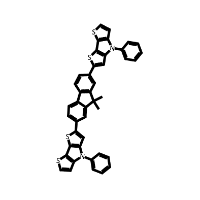 CC1(C)c2cc(-c3cc4c(s3)c3sccc3n4-c3ccccc3)ccc2-c2ccc(-c3cc4c(s3)c3sccc3n4-c3ccccc3)cc21